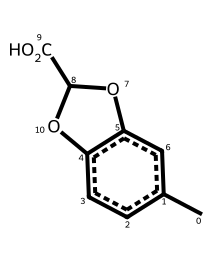 Cc1ccc2c(c1)OC(C(=O)O)O2